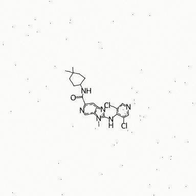 Cn1c(Nc2c(Cl)cncc2Cl)nc2cc(C(=O)NC3CCC(C)(C)CC3)ncc21